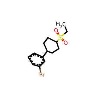 CCS(=O)(=O)C1CCC(c2cccc(Br)c2)CC1